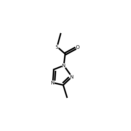 CSC(=O)n1cnc(C)n1